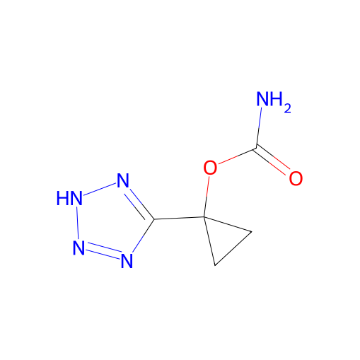 NC(=O)OC1(c2nn[nH]n2)CC1